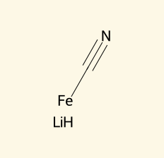 N#[C][Fe].[LiH]